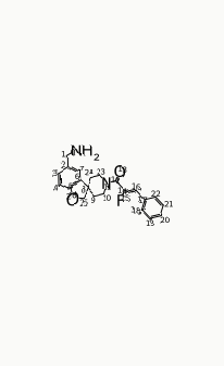 NCc1ccc2c(c1)C1(CCN(C(=O)C(F)=Cc3ccccc3)CC1)CO2